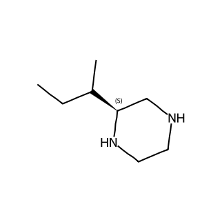 CCC(C)[C@H]1CNCCN1